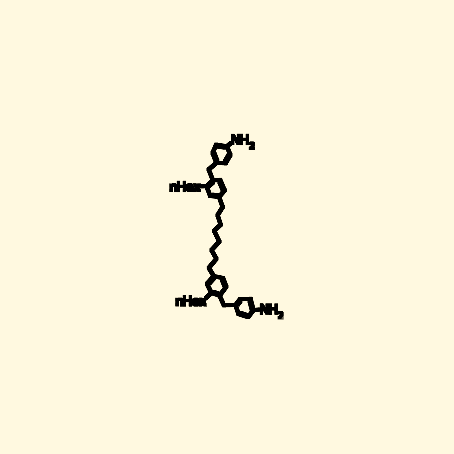 CCCCCCc1cc(CCCCCCCCc2ccc(Cc3ccc(N)cc3)c(CCCCCC)c2)ccc1Cc1ccc(N)cc1